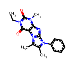 CCn1c(=O)c2c(nc3n(-c4ccccc4)c(C)c(C)n23)n(C)c1=O